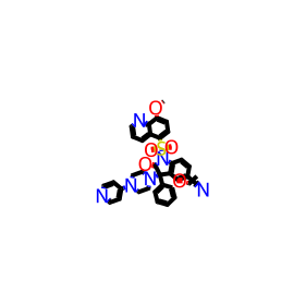 CCOc1ccccc1C1(N2CCN(c3ccncc3)CC2)C(=O)N(S(=O)(=O)c2ccc(OC)c3ncccc23)c2ccc(C#N)cc21